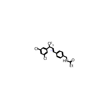 CCC(=O)NCc1ccc(/C=C/C(c2cc(Cl)cc(Cl)c2)C(F)(F)F)cc1